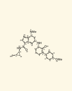 CNc1cc(Nc2cccn(-c3ccc(OC)cn3)c2=O)nc2c(C(=O)N[C@H]3C[C@H]3F)cnn12